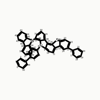 c1ccc(-c2ccc(-n3c4ccc5c6cc(-c7ccccc7)ccc6sc5c4c4cccc(-n5c6ccccc6c6ccccc65)c43)cc2)cc1